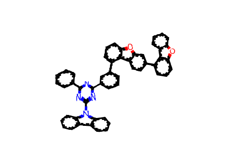 c1ccc(-c2nc(-c3cccc(-c4cccc5oc6cc(-c7cccc8oc9ccccc9c78)ccc6c45)c3)nc(-n3c4ccccc4c4ccccc43)n2)cc1